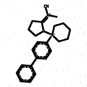 C[N+](C#N)=C1CCCN1[N+]1(c2ccc(-c3ccccc3)cc2)CCCCC1